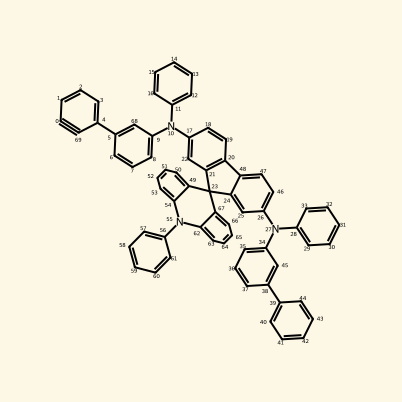 c1cccc(-c2cccc(N(c3ccccc3)c3ccc4c(c3)C3(c5cc(N(c6ccccc6)c6cccc(-c7ccccc7)c6)ccc5-4)c4ccccc4N(c4ccccc4)c4ccccc43)c2)c#1